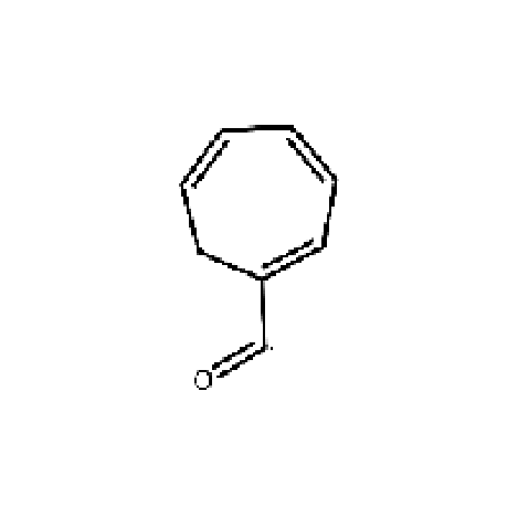 O=[C]C1=CC=CC=CC1